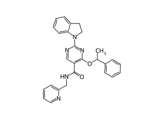 CC(Oc1nc(N2CCc3ccccc32)ncc1C(=O)NCc1ccccn1)c1ccccc1